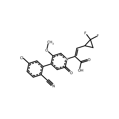 COc1cn(/C(=C/C2CC2(F)F)C(=O)O)c(=O)cc1-c1cc(Cl)ccc1C#N